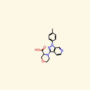 Cc1ccc(-n2nc(N3CCOCC3C(=O)O)c3ccncc32)cc1